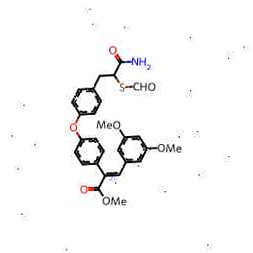 COC(=O)/C(=C/c1cc(OC)cc(OC)c1)c1ccc(Oc2ccc(CC(SC=O)C(N)=O)cc2)cc1